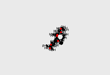 CC(C)CC(=O)OC1C(OC2C(CO)OC(Oc3ccc(CC4NC(=O)C(C(C)c5ccccc5Cl)NC(=O)CNC(=O)C(CO)NC(=O)C(C(O)C5CNC(=N)N5C5OC(CO)C(O)C(O)C5O)NC(=O)C(C(O)C5CNC(=N)N5)NC4=O)cc3)C(O)C2O)OC(CO)C(O)C1O